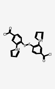 O=C(Cl)c1ccc(SSc2ccc(C(=O)Cl)cc2[SH]2C=CC=C2)c([SH]2C=CC=C2)c1